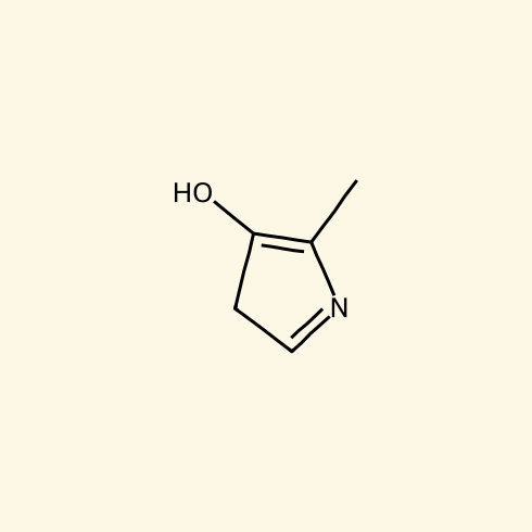 CC1=C(O)CC=N1